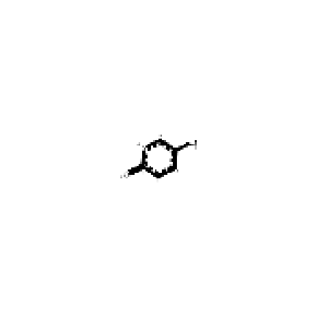 CCc1ccc(=O)sc1